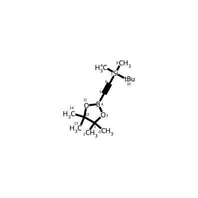 CC1(C)OB(C#C[Si](C)(C)C(C)(C)C)OC1(C)C